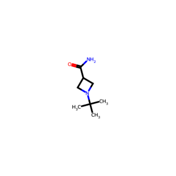 CC(C)(C)N1CC(C(N)=O)C1